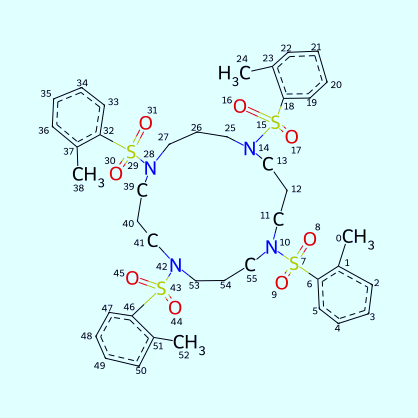 Cc1ccccc1S(=O)(=O)N1CCCN(S(=O)(=O)c2ccccc2C)CCCN(S(=O)(=O)c2ccccc2C)CCCN(S(=O)(=O)c2ccccc2C)CCC1